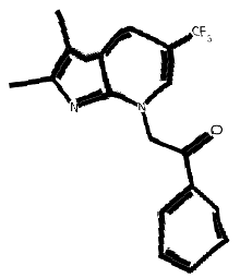 Cc1nc2n(CC(=O)c3ccccc3)cc(C(F)(F)F)cc-2c1C